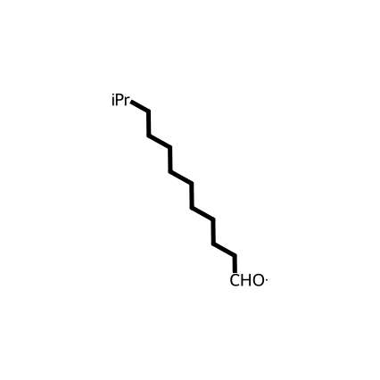 CC(C)CCCCCCCCC[C]=O